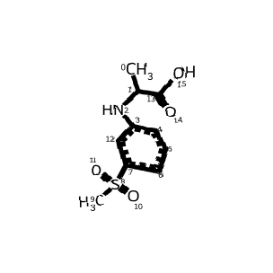 CC(Nc1cccc(S(C)(=O)=O)c1)C(=O)O